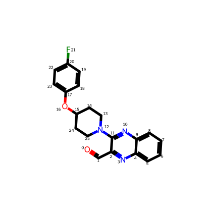 O=Cc1nc2ccccc2nc1N1CCC(Oc2ccc(F)cc2)CC1